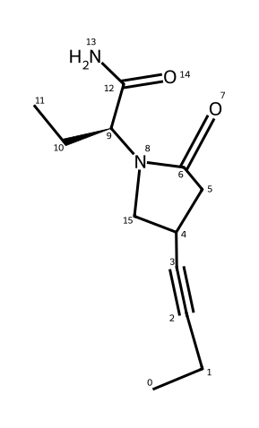 CCC#CC1CC(=O)N([C@@H](CC)C(N)=O)C1